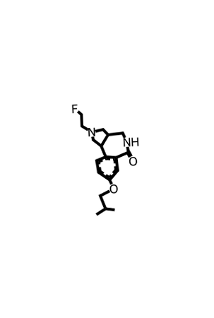 CC(C)COc1ccc2c(c1)C(=O)NCC1CN(CCF)CC21